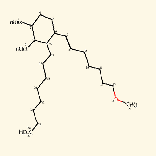 CCCCCCCCC1C(CCCCCC)CCC(CCCCCCCOC=O)C1CCCCCCCC(=O)O